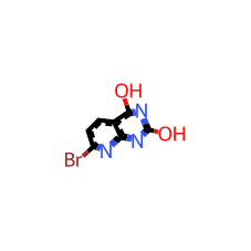 Oc1nc(O)c2ccc(Br)nc2n1